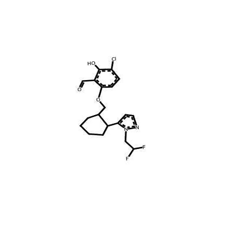 O=Cc1c(OCC2CCCCC2c2ccnn2CC(F)F)ccc(Cl)c1O